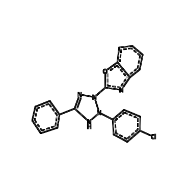 Clc1ccc(N2NC(c3ccccc3)=NN2c2nc3ccccc3o2)cc1